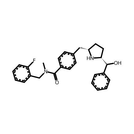 CN(Cc1ccccc1F)C(=O)c1ccc(C[C@@H]2CC[C@H](C(O)c3ccccc3)N2)cc1